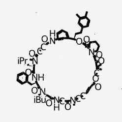 CC[C@@H](C)[C@H]1C(=O)NCC(=O)N(C)CC/C=C/C(=O)OCC(C)(C)C(=O)C(=O)N2CCCC[C@H]2C(=O)O[C@H](CCc2ccc(C)c(C)c2)c2cccc(c2)NC(=O)CCC(=O)N(C)[C@@H](CC(C)C)C(=O)N[C@H](Cc2ccccc2)C(=O)N1C